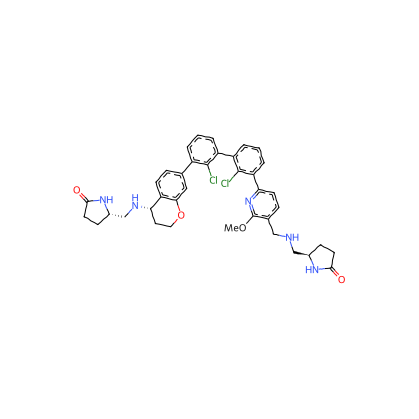 COc1nc(-c2cccc(-c3cccc(-c4ccc5c(c4)OCC[C@@H]5NC[C@@H]4CCC(=O)N4)c3Cl)c2Cl)ccc1CNC[C@H]1CCC(=O)N1